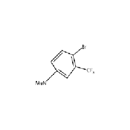 CNc1ccc(Br)c(C(F)(F)F)c1